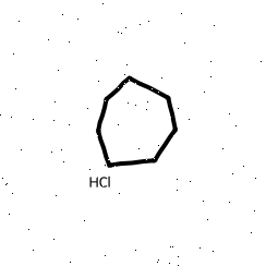 Cl.[CH]1CCCCCC1